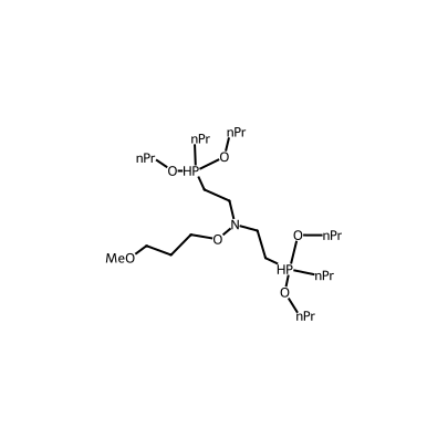 CCCO[PH](CCC)(CCN(CC[PH](CCC)(OCCC)OCCC)OCCCOC)OCCC